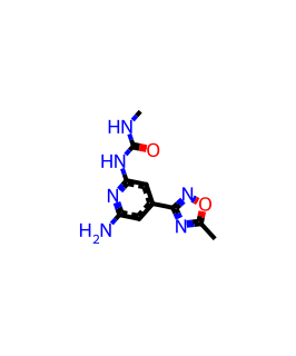 CNC(=O)Nc1cc(-c2noc(C)n2)cc(N)n1